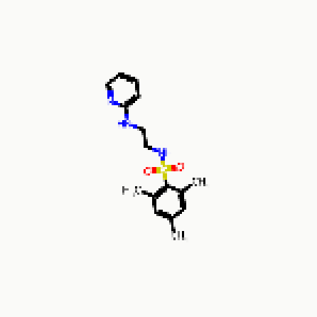 Cc1cc(C)c(S(=O)(=O)NCCNc2ccccn2)c(C)c1